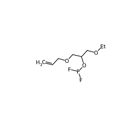 C=CCOCC(COCC)OP(F)F